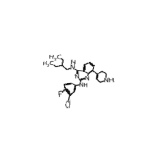 CCC(CC)CNc1nc(Nc2ccc(F)c(Cl)c2)nc2c(C3=CCNCC3)cccc12